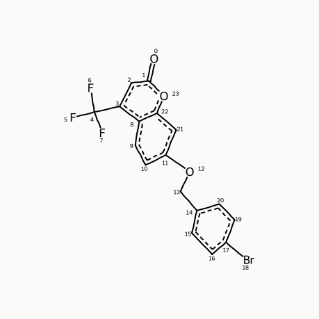 O=c1cc(C(F)(F)F)c2ccc(OCc3ccc(Br)cc3)cc2o1